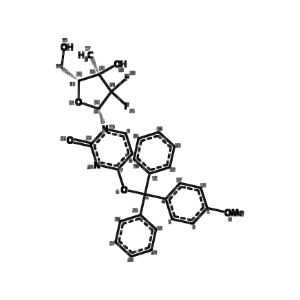 COc1ccc(C(Oc2ccn([C@@H]3O[C@H](CO)[C@@](C)(O)C3(F)F)c(=O)n2)(c2ccccc2)c2ccccc2)cc1